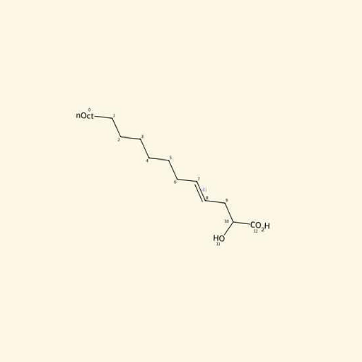 CCCCCCCCCCCCCC/C=C/CC(O)C(=O)O